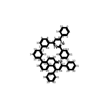 c1ccc(-c2cc(-c3cccc(-c4cccc(-c5cccc6c5ccc5nc(-c7ccccc7)cc(-c7ccccc7)c56)c4)c3)nc(-c3ccccc3)n2)cc1